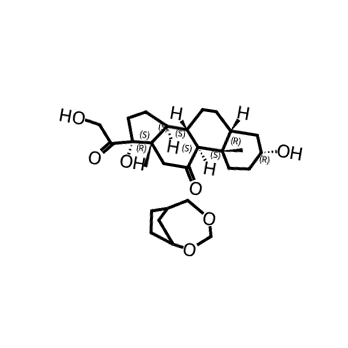 C1OCC2CCC(C2)O1.C[C@]12CC[C@@H](O)C[C@H]1CC[C@@H]1[C@@H]2C(=O)C[C@@]2(C)[C@H]1CC[C@]2(O)C(=O)CO